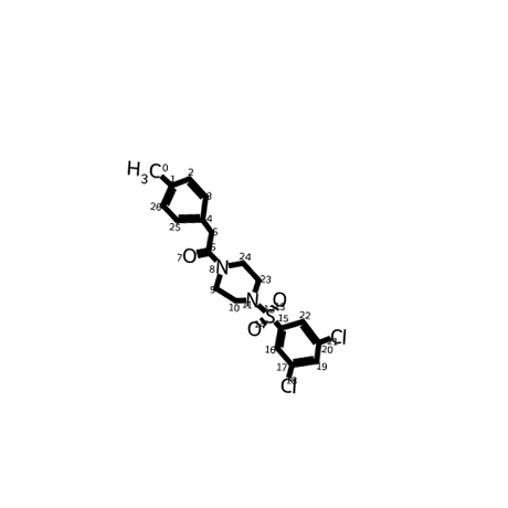 Cc1ccc(CC(=O)N2CCN(S(=O)(=O)c3cc(Cl)cc(Cl)c3)CC2)cc1